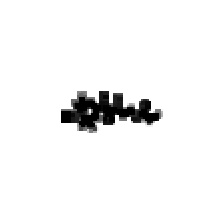 C=CC(=O)OCCNC(=O)NC1CC(C)(C)N(O)C(C)(C)C1